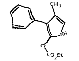 CCOC(=O)Oc1[nH]cc(C)c1-c1ccccc1